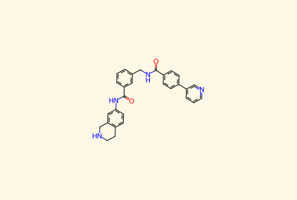 O=C(NCc1cccc(C(=O)Nc2ccc3c(c2)CNCC3)c1)c1ccc(-c2cccnc2)cc1